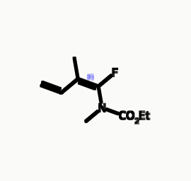 C=C/C(C)=C(/F)N(C)C(=O)OCC